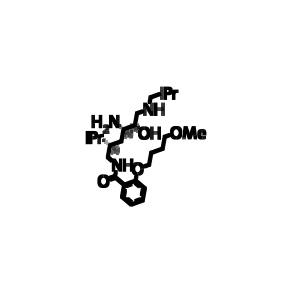 COCCCCOc1ccccc1C(=O)NC[C@@H](C[C@H](N)[C@@H](O)CNCC(C)C)C(C)C